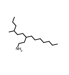 CCCCCCCC(CCN)CCC(C)CCC